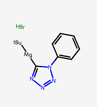 Br.C[C](C)(C)[Mg][c]1nnnn1-c1ccccc1